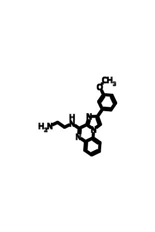 COc1cccc(-c2cn3c(n2)c(NCCN)nc2ccccc23)c1